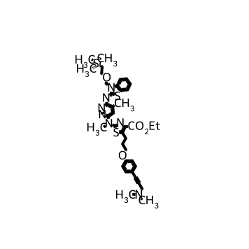 CCOC(=O)c1nc(N(C)c2cc(C)c(/N=c3\sc4ccccc4n3COCC[Si](C)(C)C)nn2)sc1CCCOc1ccc(C#CCN(C)C)cc1